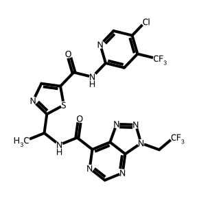 CC(NC(=O)c1ncnc2c1nnn2CC(F)(F)F)c1ncc(C(=O)Nc2cc(C(F)(F)F)c(Cl)cn2)s1